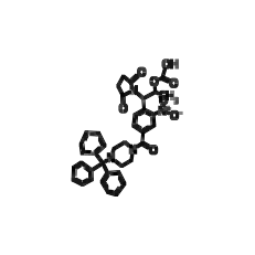 CC(OC(=O)O)C(c1ccc(C(=O)N2CCN(C(c3ccccc3)(c3ccccc3)c3ccccc3)CC2)cc1[N+](=O)[O-])N1C(=O)CCC1=O